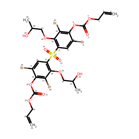 C=CCOC(=O)Oc1c(Br)cc(S(=O)(=O)c2cc(Br)c(OC(=O)OCC=C)c(Br)c2OCC(C)O)c(OCC(C)O)c1Br